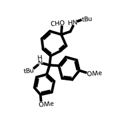 COc1ccc(C(NC(C)(C)C)(C2=CC=CC(C=O)(CNC(C)(C)C)C=C2)c2ccc(OC)cc2)cc1